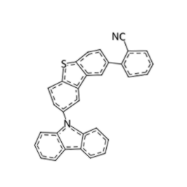 N#Cc1ccccc1-c1ccc2sc3ccc(-n4c5ccccc5c5ccccc54)cc3c2c1